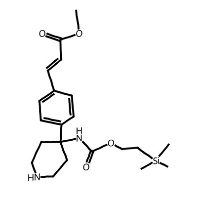 COC(=O)/C=C/c1ccc(C2(NC(=O)OCC[Si](C)(C)C)CCNCC2)cc1